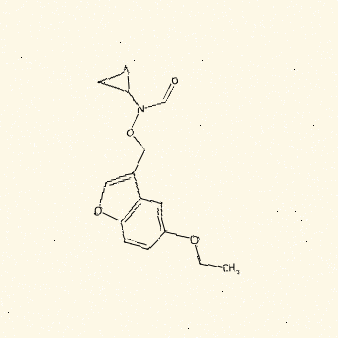 CCOc1ccc2occ(CON(C=O)C3CC3)c2c1